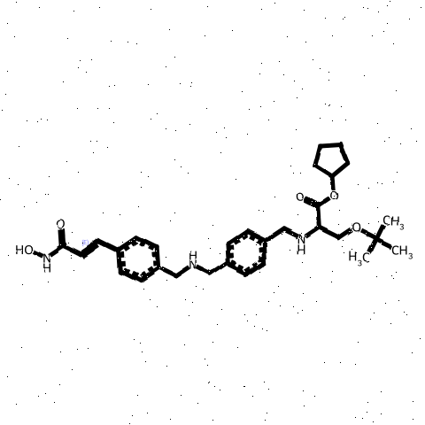 CC(C)(C)OCC(NCc1ccc(CNCc2ccc(/C=C/C(=O)NO)cc2)cc1)C(=O)OC1CCCC1